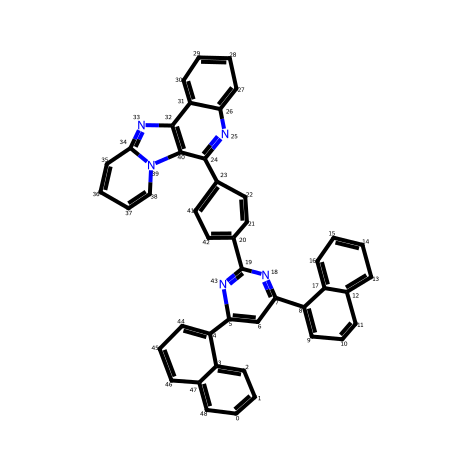 c1ccc2c(-c3cc(-c4cccc5ccccc45)nc(-c4ccc(-c5nc6ccccc6c6nc7ccccn7c56)cc4)n3)cccc2c1